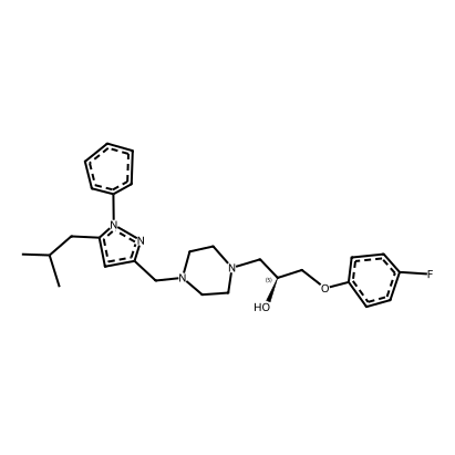 CC(C)Cc1cc(CN2CCN(C[C@H](O)COc3ccc(F)cc3)CC2)nn1-c1ccccc1